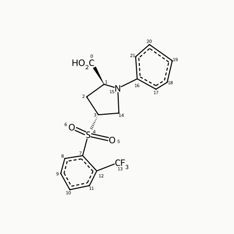 O=C(O)[C@@H]1C[C@@H](S(=O)(=O)c2ccccc2C(F)(F)F)CN1c1ccccc1